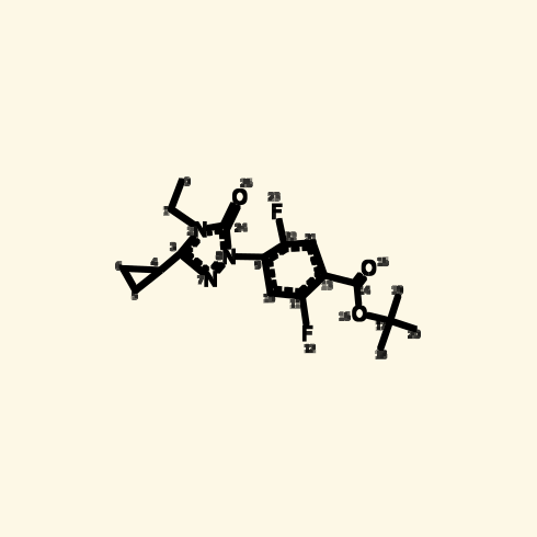 CCn1c(C2CC2)nn(-c2cc(F)c(C(=O)OC(C)(C)C)cc2F)c1=O